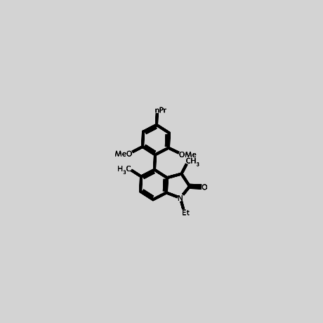 CCCc1cc(OC)c(-c2c(C)ccc3c2C(C)C(=O)N3CC)c(OC)c1